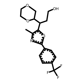 Cc1nc(-c2ccc(C(F)(F)F)cc2)sc1C(CCO)C1COCCO1